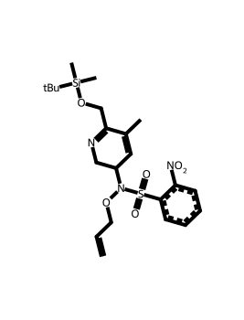 C=CCON(C1C=C(C)C(CO[Si](C)(C)C(C)(C)C)=NC1)S(=O)(=O)c1ccccc1[N+](=O)[O-]